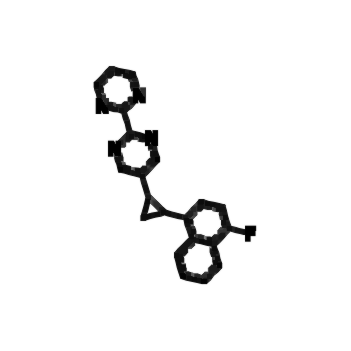 Fc1ccc(C2CC2c2cnc(-c3ncccn3)nc2)c2ccccc12